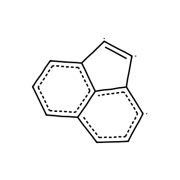 [C]1=[C]c2cccc3cc[c]c1c23